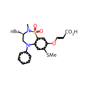 CCCC[C@@H]1CN(c2ccccc2)c2cc(SC)c(O/C=C/C(=O)O)cc2S(=O)(=O)N1C